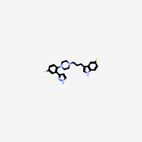 Fc1ccc(N2CCN(CCCc3c[nH]c4ccc(F)cc34)CC2)c(-c2cc[nH]n2)c1